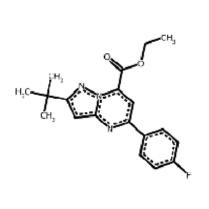 CCOC(=O)c1cc(-c2ccc(F)cc2)nc2cc(C(C)(C)C)nn12